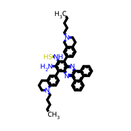 CCCCCN1CCc2ccc(-c3c(NS)c(N)c(-c4ccc5c(c4)CCCN5CCCCC)c4nc5c6ccccc6c6ccccc6c5nc34)cc2C1